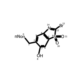 CCCCCCCCCCc1cc2c(cc1O)S(=O)(=O)C(Br)=N2